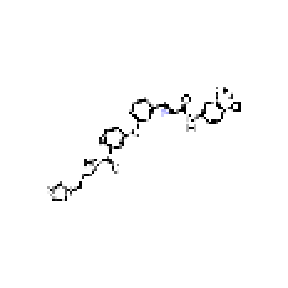 O=C(/C=C/c1cccc(Oc2ccnc(C(=O)NCCCn3ccnc3)c2)c1)Nc1ccc(Cl)c(C(F)(F)F)c1